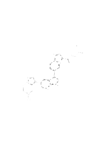 CN1CCn2ncc(-c3cnc4[nH]cc(-c5ccc6ncc(C(=O)NCC(F)F)n6c5)c4c3)c2C1